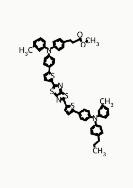 CCCc1ccc(N(c2ccc(-c3ccc(-c4nc5sc(-c6ccc(-c7ccc(N(c8ccc(CCC(=O)OC)cc8)c8cccc(C)c8)cc7)s6)nc5s4)s3)cc2)c2cccc(C)c2)cc1